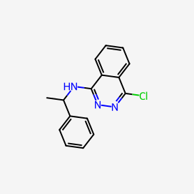 CC(Nc1nnc(Cl)c2ccccc12)c1ccccc1